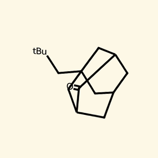 CC(C)(C)CC12CC3CC(C1)C(=O)C(C3)C2